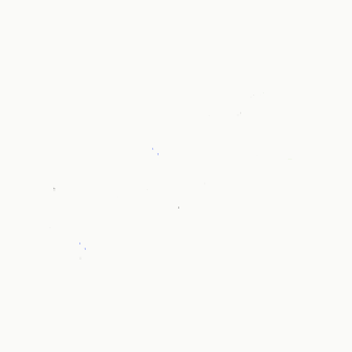 Fc1cc2cc(-c3cccnc3)[nH]c2cc1Cl